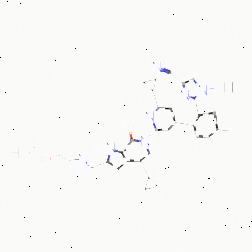 COCCNCc1cc2c(C3CC3)cn(-c3cc(-c4ccc(F)cc4-c4nc(C#N)cn4C)cc(C4CC4)n3)c(=O)c2[nH]1